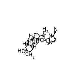 C[C@H](Cc1nccc(C#N)n1)C1CC[C@H]2[C@@H]3CC[C@@H]4C[C@](C)(O)CC[C@@H]4[C@H]3CC[C@]12C